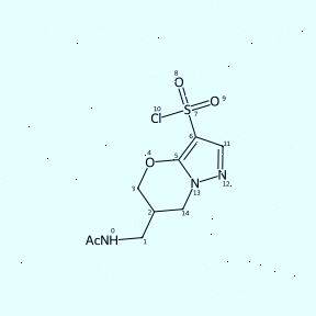 CC(=O)NCC1COc2c(S(=O)(=O)Cl)cnn2C1